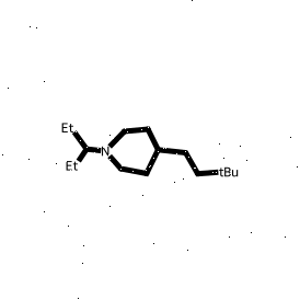 CCC(CC)N1CCC(CCC(C)(C)C)CC1